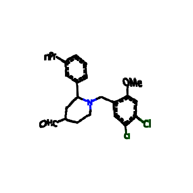 CCCc1cccc(C2CC(C=O)CCN2Cc2cc(Cl)c(Cl)cc2OC)c1